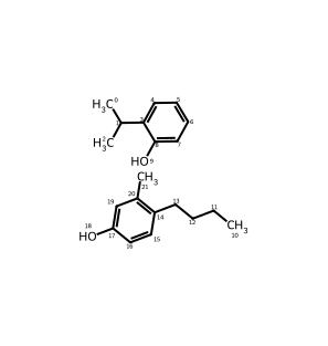 CC(C)c1ccccc1O.CCCCc1ccc(O)cc1C